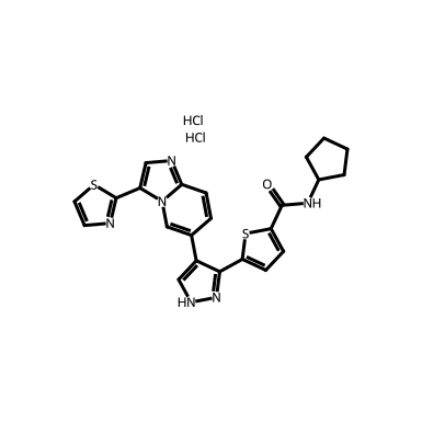 Cl.Cl.O=C(NC1CCCC1)c1ccc(-c2n[nH]cc2-c2ccc3ncc(-c4nccs4)n3c2)s1